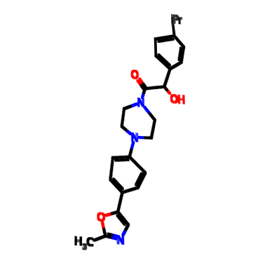 Cc1ncc(-c2ccc(N3CCN(C(=O)C(O)c4ccc(C(C)C)cc4)CC3)cc2)o1